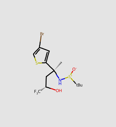 CC(C)(C)[S+]([O-])N[C@@](C)(C[C@H](O)C(F)(F)F)c1cc(Br)cs1